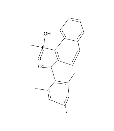 Cc1cc(C)c(C(=O)c2ccc3ccccc3c2P(C)(=O)O)c(C)c1